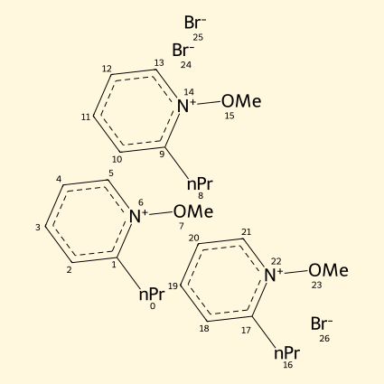 CCCc1cccc[n+]1OC.CCCc1cccc[n+]1OC.CCCc1cccc[n+]1OC.[Br-].[Br-].[Br-]